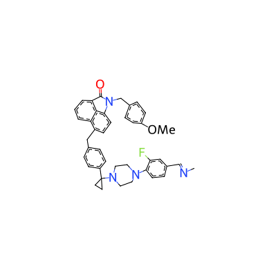 C/N=C/c1ccc(N2CCN(C3(c4ccc(Cc5ccc6c7c(cccc57)C(=O)N6Cc5ccc(OC)cc5)cc4)CC3)CC2)c(F)c1